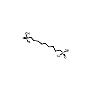 O=P(O)(O)CCCCCCCCCP(=O)(O)O